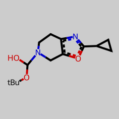 CC(C)(C)OC(O)N1CCc2nc(C3CC3)oc2C1